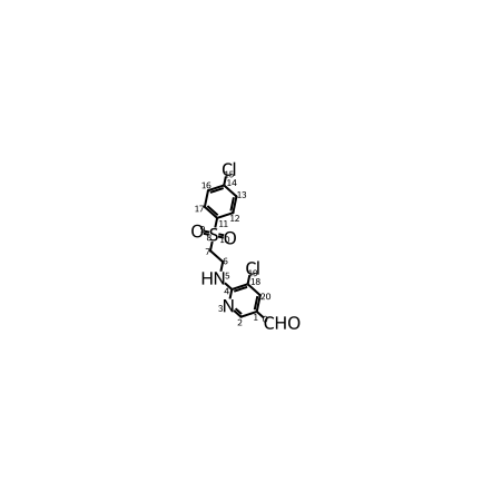 O=Cc1cnc(NCCS(=O)(=O)c2ccc(Cl)cc2)c(Cl)c1